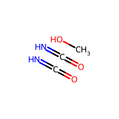 CO.N=C=O.N=C=O